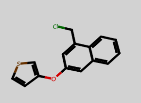 ClCc1cc(Oc2ccsc2)cc2ccccc12